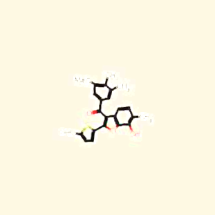 COc1cc(C(=O)c2c(-c3ccc(C=O)s3)oc3c(O)c(C)ccc23)cc(C)c1C